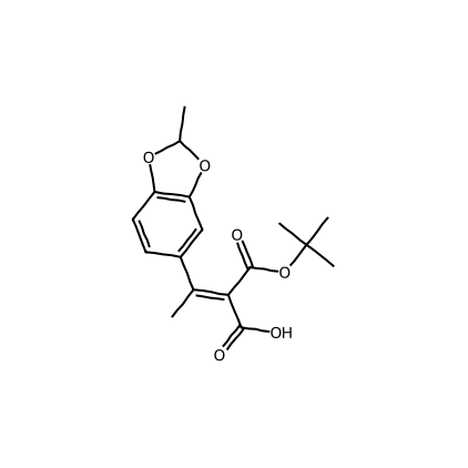 CC(=C(C(=O)O)C(=O)OC(C)(C)C)c1ccc2c(c1)OC(C)O2